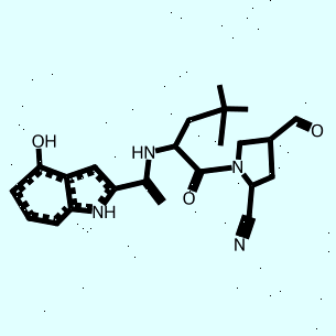 C=C(NC(CC(C)(C)C)C(=O)N1CC(C=O)CC1C#N)c1cc2c(O)cccc2[nH]1